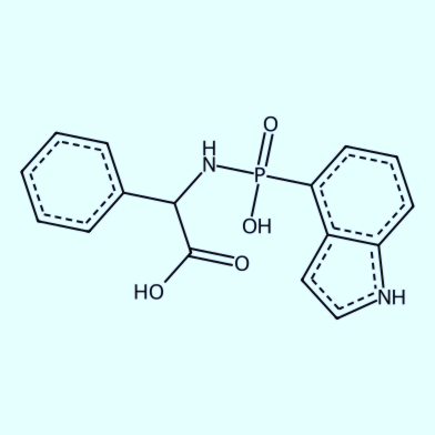 O=C(O)C(NP(=O)(O)c1cccc2[nH]ccc12)c1ccccc1